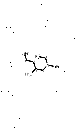 CCCN(CC(C)C)CC(C)CCC(C)C